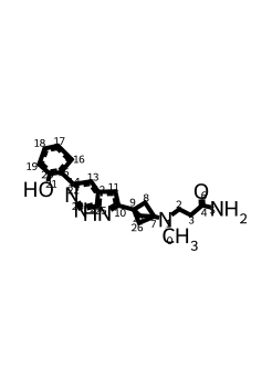 CN(CCC(N)=O)C12CC(c3cc4cc(-c5ccccc5O)nnc4[nH]3)(C1)C2